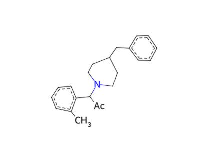 CC(=O)C(c1ccccc1C)N1CCC(Cc2ccccc2)CC1